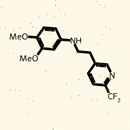 COc1ccc(NCCc2ccc(C(F)(F)F)nc2)cc1OC